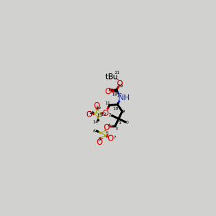 CC(C)(COS(C)(=O)=O)CC(COS(C)(=O)=O)NC(=O)OC(C)(C)C